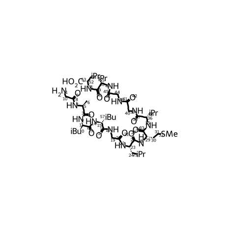 CC[C@H](C)[C@H](NC(=O)[C@H](C)NC(=O)CN)C(=O)N[C@H](C(=O)NCC(=O)N[C@@H](CC(C)C)C(=O)N[C@@H](CCSC)C(=O)N[C@H](C(=O)NCC(=O)NCC(=O)N[C@H](C(=O)N[C@H](C(=O)O)C(C)C)C(C)C)C(C)C)[C@@H](C)CC